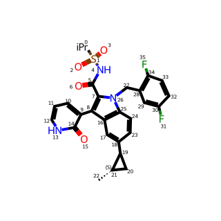 CC(C)S(=O)(=O)NC(=O)c1c(-c2ccc[nH]c2=O)c2cc(C3C[C@@H]3C)ccc2n1Cc1cc(F)ccc1F